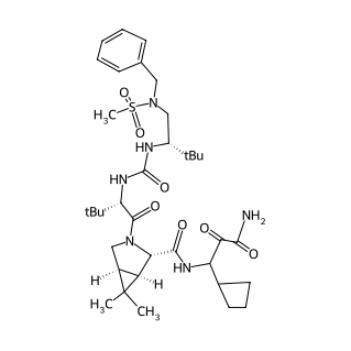 CC(C)(C)[C@H](NC(=O)N[C@H](CN(Cc1ccccc1)S(C)(=O)=O)C(C)(C)C)C(=O)N1C[C@H]2[C@@H]([C@H]1C(=O)NC(C(=O)C(N)=O)C1CCC1)C2(C)C